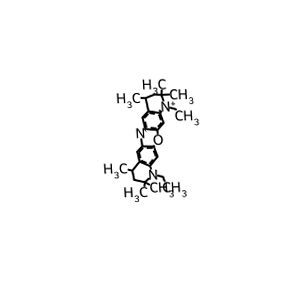 CCN1c2cc3c(cc2C(C)CC1(C)C)N=c1cc2c(cc1O3)=[N+](CC)C(C)(C)CC2C